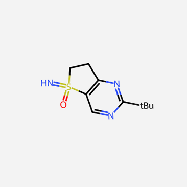 CC(C)(C)c1ncc2c(n1)CCS2(=N)=O